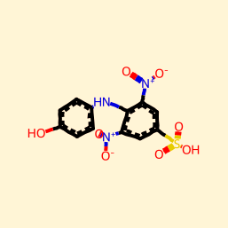 O=[N+]([O-])c1cc(S(=O)(=O)O)cc([N+](=O)[O-])c1Nc1ccc(O)cc1